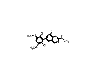 CNc1ncc2cc(-c3c(Cl)c(OC)cc(OC)c3Cl)cc(F)c2n1